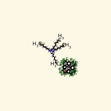 CCCCCCCC[N+](CCCCCCCC)(CCCCCCCC)CCCCCCCC.FC(F)(F)c1cc([B-](c2cc(C(F)(F)F)cc(C(F)(F)F)c2)(c2cc(C(F)(F)F)cc(C(F)(F)F)c2)c2cc(C(F)(F)F)cc(C(F)(F)F)c2)cc(C(F)(F)F)c1